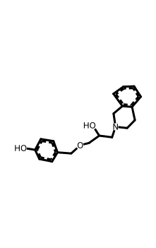 Oc1ccc(COCC(O)CN2CCc3ccccc3C2)cc1